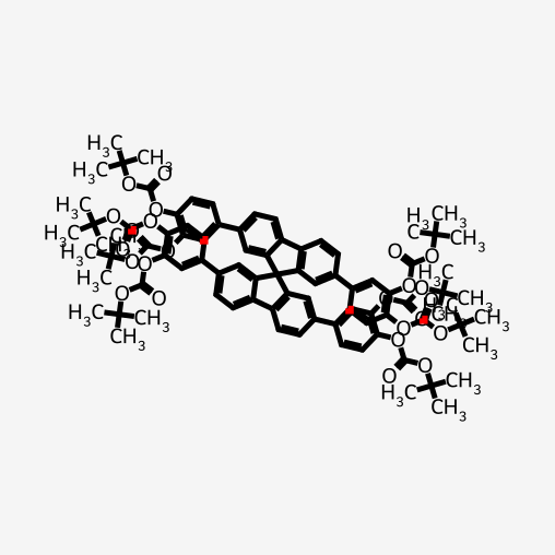 CC(C)(C)OC(=O)Oc1ccc(-c2ccc3c(c2)C2(c4cc(-c5ccc(OC(=O)OC(C)(C)C)c(OC(=O)OC(C)(C)C)c5)ccc4-3)c3cc(-c4ccc(OC(=O)OC(C)(C)C)c(OC(=O)OC(C)(C)C)c4)ccc3-c3ccc(-c4ccc(OC(=O)OC(C)(C)C)c(OC(=O)OC(C)(C)C)c4)cc32)cc1OC(=O)OC(C)(C)C